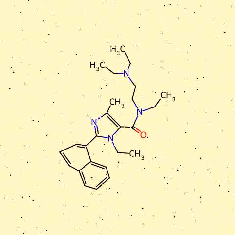 CCN(CC)CCN(CC)C(=O)c1c(C)nc(-c2cccc3ccccc23)n1CC